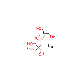 OCC(CO)(CO)COCC(CO)(CO)CO.[La]